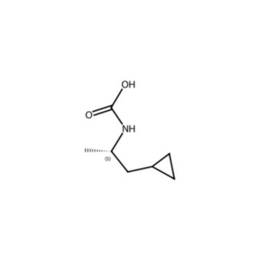 C[C@@H](CC1CC1)NC(=O)O